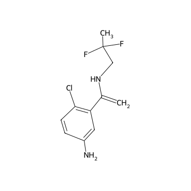 C=C(NCC(C)(F)F)c1cc(N)ccc1Cl